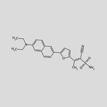 CCN(CC)c1ccc2cc(-c3ccc(/C(C)=C(\C#N)S(N)(=O)=O)o3)ccc2c1